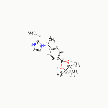 COCc1nccn1C(C)c1ccc(B2OC(C)(C)C(C)(C)O2)cc1